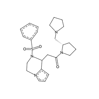 O=C(CC1c2cccn2CCN1S(=O)(=O)c1ccccc1)N1CCC[C@H]1CN1CCCC1